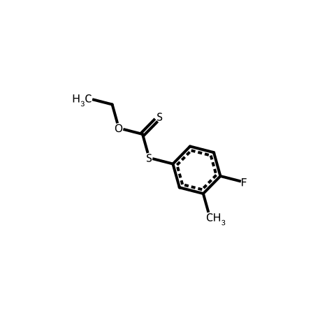 CCOC(=S)Sc1ccc(F)c(C)c1